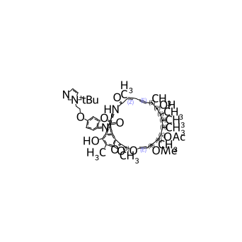 CO[C@H]1/C=C/O[C@@]2(C)Oc3c(C)c(O)c4c(=O)c(c5oc6cc(OCC[N+]7(C(C)(C)C)C=CN=C7)ccc6nc-5c4c3C2=O)NC(=O)/C(C)=C\C=C\[C@H](C)[C@H](O)[C@@H](C)[C@@H](C)[C@@H](C)[C@H](OC(C)=O)[C@@H]1C